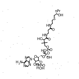 CCC[C@H](O)CSCCNC(=O)CCNC(=O)C(O)C(C)(C)COP(=O)(O)OP(=O)(O)OC[C@H]1O[C@@H](n2cnc3c(N)ncnc32)[C@H](O)[C@@H]1OP(=O)(O)O